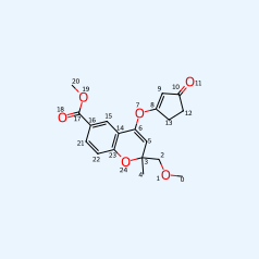 COCC1(C)C=C(OC2=CC(=O)CC2)c2cc(C(=O)OC)ccc2O1